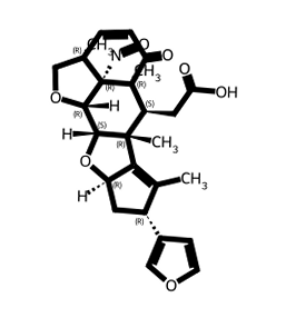 CC1=C2[C@@H](C[C@H]1c1ccoc1)O[C@@H]1[C@@H]3OC[C@]4(C)C=CC(=O)[C@](C)([C@@H](CC(=O)O)[C@]21C)[C@@]34N=O